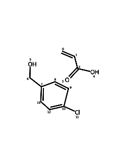 C=CC(=O)O.OCc1ccc(Cl)cc1